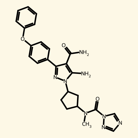 CN(C(=O)n1cncn1)C1CCC(n2nc(-c3ccc(Oc4ccccc4)cc3)c(C(N)=O)c2N)C1